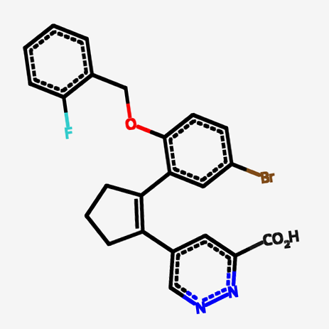 O=C(O)c1cc(C2=C(c3cc(Br)ccc3OCc3ccccc3F)CCC2)cnn1